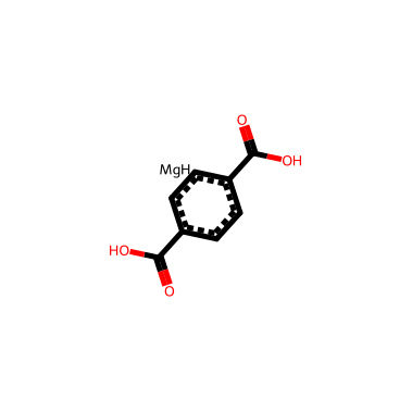 O=C(O)c1ccc(C(=O)O)cc1.[MgH2]